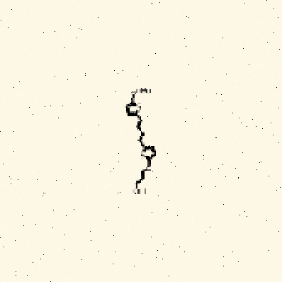 CCCCSc1ccc(C=CC=Cc2ccc(SCCCO)s2)s1